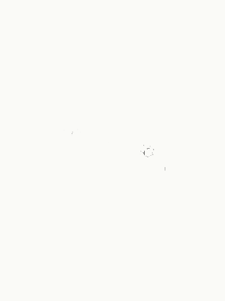 CC(=O)SCCOCCOCCOCCn1cc(CCC=O)nn1